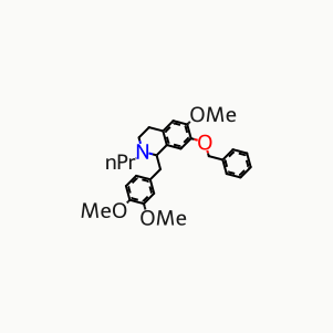 CCCN1CCc2cc(OC)c(OCc3ccccc3)cc2C1Cc1ccc(OC)c(OC)c1